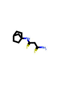 NC(=S)CC(=S)NC12CCC(CC1)C2